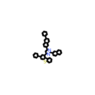 c1ccc(-c2ccc3cc(-c4cc(-c5cc(-c6ccccc6)cc6sc7ccccc7c56)nc(-c5ccc6ccccc6c5)n4)ccc3c2)cc1